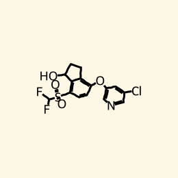 O=S(=O)(c1ccc(Oc2cncc(Cl)c2)c2c1C(O)CC2)C(F)F